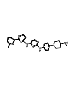 CNC1CCN(c2ccc(Nc3nccc(Nc4ccnc(-c5cccc(C)n5)n4)n3)cc2)CC1